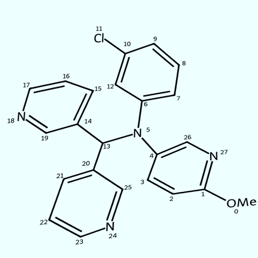 COc1ccc(N(c2cccc(Cl)c2)C(c2cccnc2)c2cccnc2)cn1